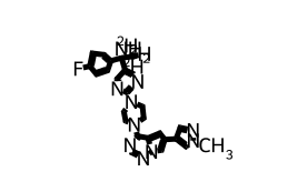 [2H]C([2H])([2H])[C@@](N)(c1ccc(F)cc1)c1cnc(N2CCN(c3ncnn4cc(-c5cnn(C)c5)cc34)CC2)nc1